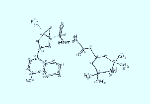 CC1(C)CC(CC(=O)NNC(=O)[C@]23CN(c4ccc(C#N)c5ncccc45)C[C@@]2(C(F)(F)F)C3)CC(C)(C)N1